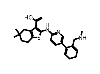 C=C(O)c1c(Nc2ccc(C3=CCCC=C3CNC)cn2)sc2c1CC(C)(C)CC2